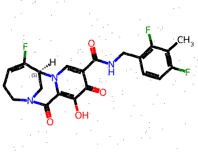 Cc1c(F)ccc(CNC(=O)c2cn3c(c(O)c2=O)C(=O)N2CCC=C(F)[C@@H]3C2)c1F